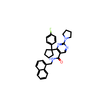 O=C(NCc1cccc2ccccc12)c1cnc(N2CCCC2)nc1C1(c2ccc(F)cc2)CCCC1